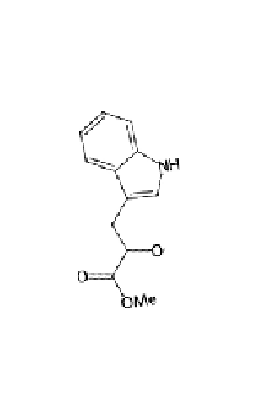 COC(=O)C([O])Cc1c[nH]c2ccccc12